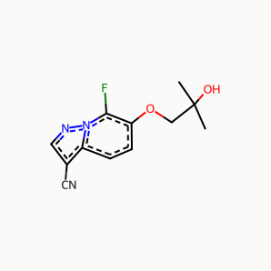 CC(C)(O)COc1ccc2c(C#N)cnn2c1F